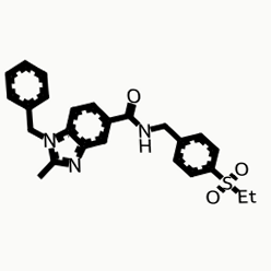 CCS(=O)(=O)c1ccc(CNC(=O)c2ccc3c(c2)nc(C)n3Cc2ccccc2)cc1